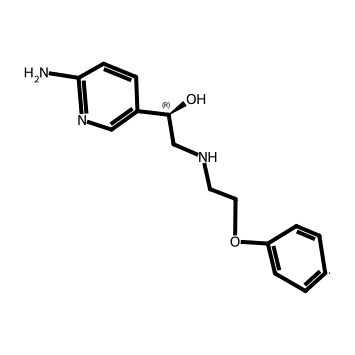 Nc1ccc([C@@H](O)CNCCOc2cc[c]cc2)cn1